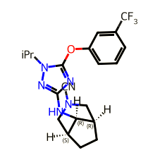 CC(C)n1nc(N[C@H]2[C@@H]3CC[C@H]2CN(C#N)C3)nc1Oc1cccc(C(F)(F)F)c1